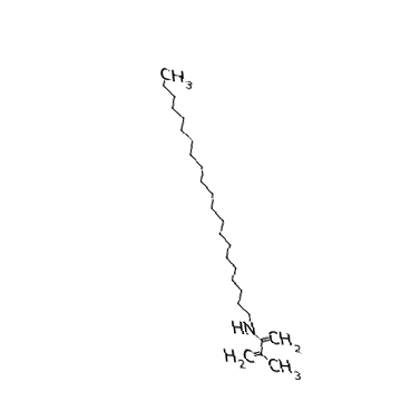 C=C(C)C(=C)NCCCCCCCCCCCCCCCCCCCCC